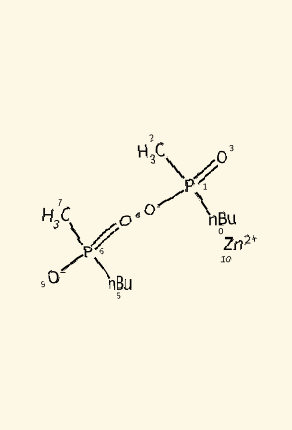 CCCCP(C)(=O)[O-].CCCCP(C)(=O)[O-].[Zn+2]